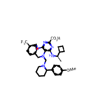 C=Nc1nc(C(=O)O)nc(N[C@H](C)C2CCC2)c1N(Cc1ccc(C(F)(F)F)cc1)CN1CCCCC1c1ccc(OC)cc1